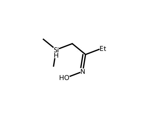 CCC(C[SiH](C)C)=NO